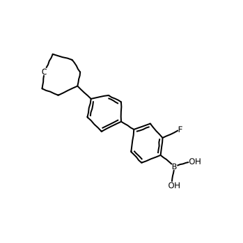 OB(O)c1ccc(-c2ccc(C3CCCCCC3)cc2)cc1F